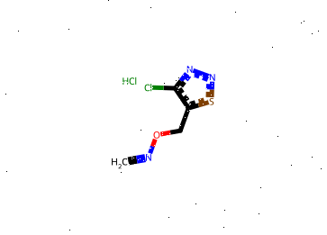 C=NOCc1snnc1Cl.Cl